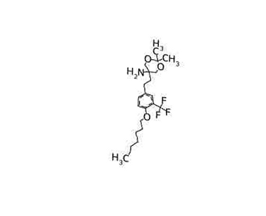 CCCCCCCOc1ccc(CCC2(N)COC(C)(C)OC2)cc1C(F)(F)F